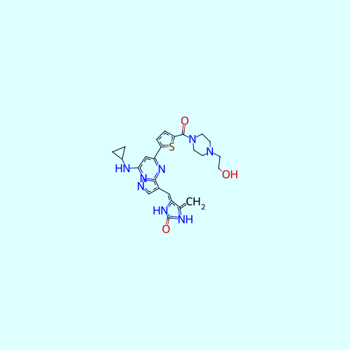 C=c1[nH]c(=O)[nH]/c1=C\c1cnn2c(NC3CC3)cc(-c3ccc(C(=O)N4CCN(CCO)CC4)s3)nc12